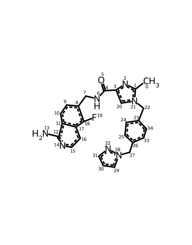 Cc1nc(C(=O)NCc2ccc3c(N)nccc3c2F)cn1Cc1ccc(Cn2cccn2)cc1